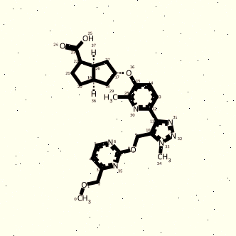 COCc1ccnc(OCc2c(-c3ccc(O[C@@H]4C[C@H]5CCC(C(=O)O)[C@H]5C4)c(C)n3)nnn2C)n1